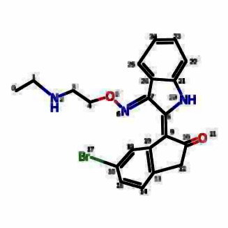 CCNCCO/N=C1/C(=C2/C(=O)Cc3ccc(Br)cc32)Nc2ccccc21